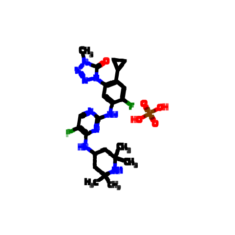 Cn1nnn(-c2cc(Nc3ncc(F)c(NC4CC(C)(C)NC(C)(C)C4)n3)c(F)cc2C2CC2)c1=O.O=S(=O)(O)O